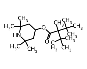 CC1(C)CC(OC(=O)C(C)(C(C)(C)C)C(C)(C)C)CC(C)(C)N1